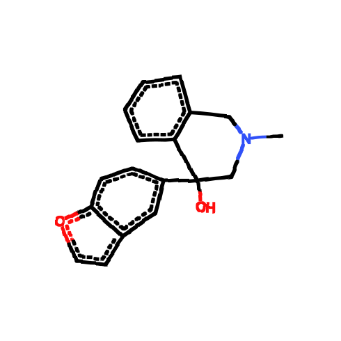 CN1Cc2ccccc2C(O)(c2ccc3occc3c2)C1